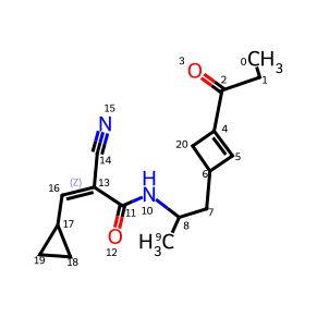 CCC(=O)C1=CC(CC(C)NC(=O)/C(C#N)=C\C2CC2)C1